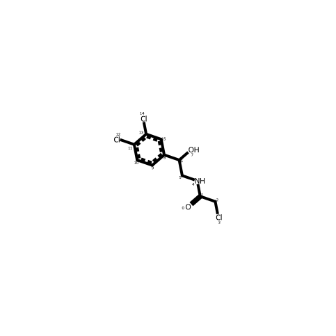 O=C(CCl)NCC(O)c1ccc(Cl)c(Cl)c1